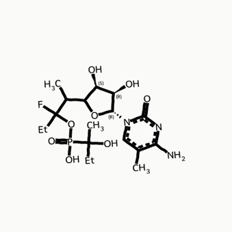 CCC(F)(OP(=O)(O)C(C)(O)CC)C(C)C1O[C@@H](n2cc(C)c(N)nc2=O)[C@H](O)[C@@H]1O